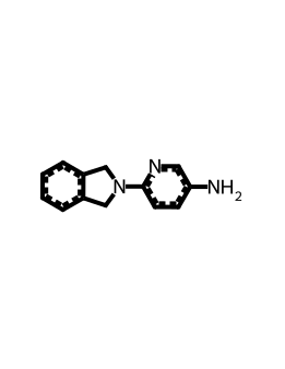 Nc1ccc(N2Cc3ccccc3C2)nc1